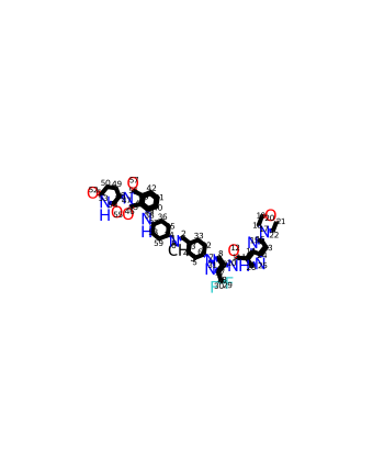 CN(CC1CCC(n2cc(NC(=O)C3=C4N=C(N5CCOCC5)C=C4N=C3)c(C(F)F)n2)CC1)[C@H]1CC[C@H](Nc2cccc3c2C(=O)N(C2CCC(=O)NC2=O)C3=O)CC1